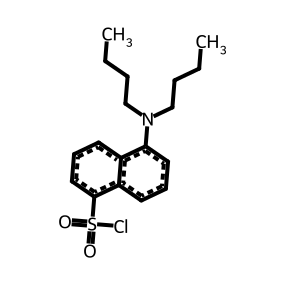 CCCCN(CCCC)c1cccc2c(S(=O)(=O)Cl)cccc12